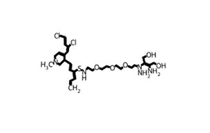 C=C/C=C(\C=C\C1CN(C)CC=C1/C=C(Cl)\C=C\Cl)SNCCOCCOCCOCCN(N)/C(CO)=C(\N)CO